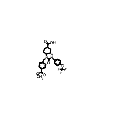 COC(=O)c1ccc(CN(C(=O)Nc2ccc(OC(F)(F)F)cc2)C2CCC(C(=O)O)CC2)cc1